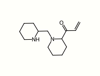 C=CC(=O)C1CCCCN1CC1CCCCN1